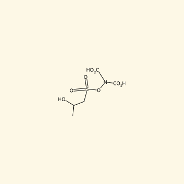 CC(O)CS(=O)(=O)ON(C(=O)O)C(=O)O